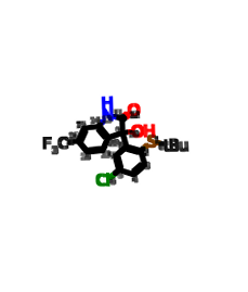 CC(C)(C)Sc1ccc(Cl)cc1C1(O)C(=O)Nc2cc(C(F)(F)F)ccc21